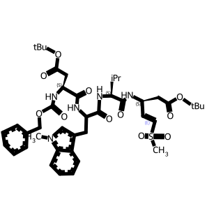 CC(C)[C@H](NC(=O)C(Cc1cn(C)c2ccccc12)NC(=O)[C@H](CC(=O)OC(C)(C)C)NC(=O)OCc1ccccc1)C(=O)N[C@H](/C=C/S(C)(=O)=O)CC(=O)OC(C)(C)C